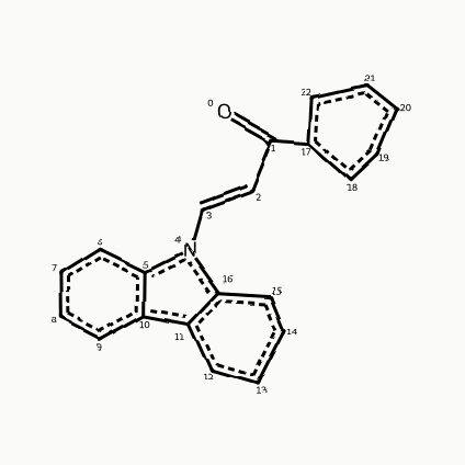 O=C(C=Cn1c2ccccc2c2ccccc21)c1ccccc1